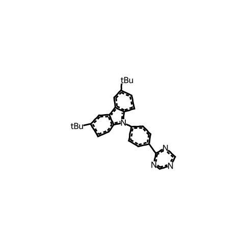 CC(C)(C)c1ccc2c(c1)c1cc(C(C)(C)C)ccc1n2-c1ccc(-c2ncncn2)cc1